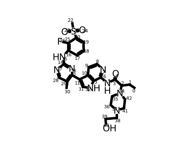 CCC(C(=O)Nc1nccc2c(-c3nc(Nc4cccc(S(C)(=O)=O)c4F)ncc3C)c[nH]c12)N1CCN(CCO)CC1